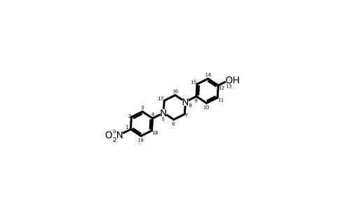 O=[N+]([O-])c1ccc(N2CCN(c3ccc(O)cc3)CC2)cc1